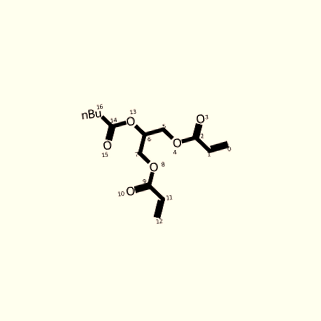 C=CC(=O)OCC(COC(=O)C=C)OC(=O)CCCC